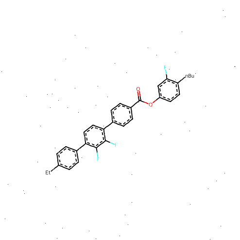 CCCCc1ccc(OC(=O)c2ccc(-c3ccc(-c4ccc(CC)cc4)c(F)c3F)cc2)cc1F